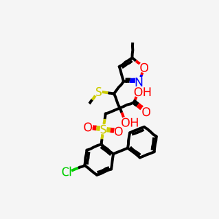 CSC(c1cc(C)on1)C(O)(CS(=O)(=O)c1cc(Cl)ccc1-c1ccccc1)C(=O)O